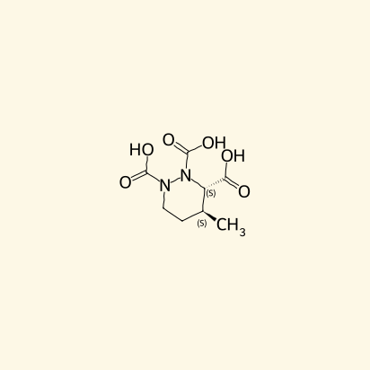 C[C@H]1CCN(C(=O)O)N(C(=O)O)[C@@H]1C(=O)O